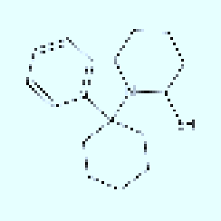 SC1CCCCN1C1(c2ccccc2)CCCCC1